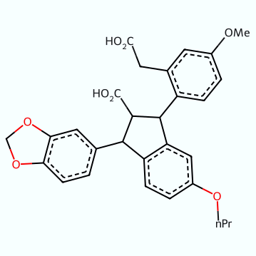 CCCOc1ccc2c(c1)C(c1ccc(OC)cc1CC(=O)O)C(C(=O)O)C2c1ccc2c(c1)OCO2